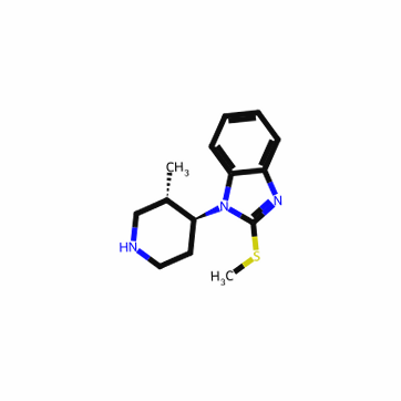 CSc1nc2ccccc2n1[C@H]1CCNC[C@@H]1C